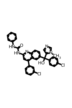 Cn1cncc1C(O)(c1ccc(Cl)cc1)c1ccc2nc(NC(=O)Nc3ccccc3)cc(-c3cccc(Cl)c3)c2c1